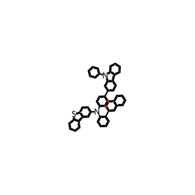 c1ccc(-n2c3ccccc3c3ccc(-c4ccc(N(c5ccc6sc7ccccc7c6c5)c5ccccc5-c5ccc6ccccc6c5)cc4)cc32)cc1